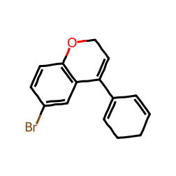 Brc1ccc2c(c1)C(C1=CCCC=C1)=CCO2